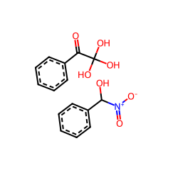 O=C(c1ccccc1)C(O)(O)O.O=[N+]([O-])C(O)c1ccccc1